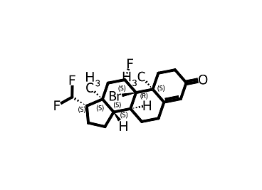 C[C@]12C[C@H](F)[C@@]3(Br)[C@@H](CCC4=CC(=O)CC[C@@]43C)[C@@H]1CC[C@@H]2C(F)F